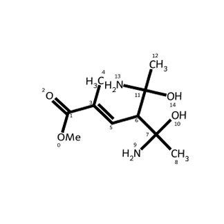 COC(=O)C(C)=CC(C(C)(N)O)C(C)(N)O